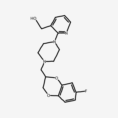 OCc1cccnc1N1CCN(CC2COc3ccc(F)cc3O2)CC1